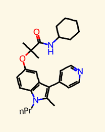 CCCn1c(C)c(-c2ccncc2)c2cc(OC(C)(C)C(=O)NC3CCCCC3)ccc21